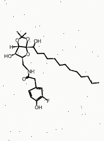 CCCCCCCCCCCCC(O)[C@@]12O[C@@H](CNC(=O)Cc3ccc(O)c(F)c3)[C@@H](O)[C@@H]1OC(C)(C)O2